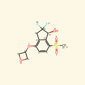 O=S(=O)(c1ccc(OC2COC2)c2c1[C@H](O)C(F)(F)C2)C(F)(F)F